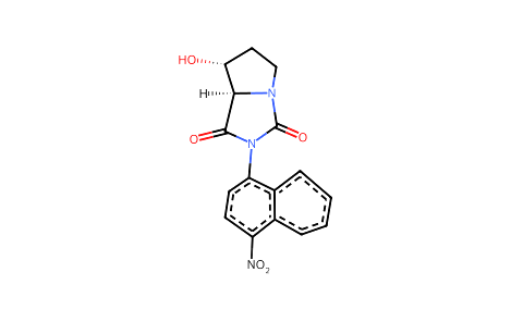 O=C1[C@H]2[C@H](O)CCN2C(=O)N1c1ccc([N+](=O)[O-])c2ccccc12